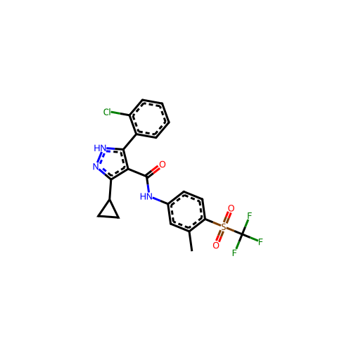 Cc1cc(NC(=O)c2c(C3CC3)n[nH]c2-c2ccccc2Cl)ccc1S(=O)(=O)C(F)(F)F